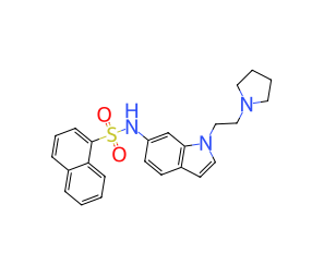 O=S(=O)(Nc1ccc2ccn(CCN3CCCC3)c2c1)c1cccc2ccccc12